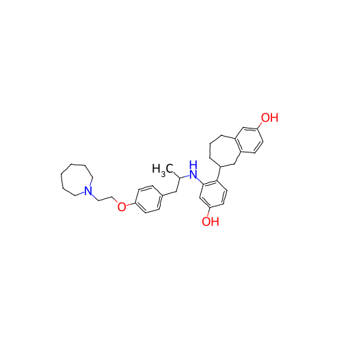 CC(Cc1ccc(OCCN2CCCCCC2)cc1)Nc1cc(O)ccc1C1CCCc2cc(O)ccc2C1